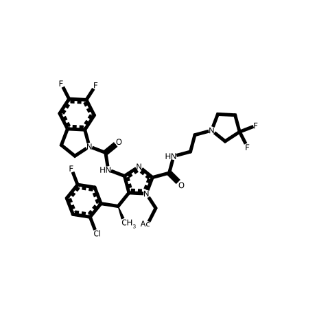 CC(=O)Cn1c(C(=O)NCCN2CCC(F)(F)C2)nc(NC(=O)N2CCc3cc(F)c(F)cc32)c1[C@@H](C)c1cc(F)ccc1Cl